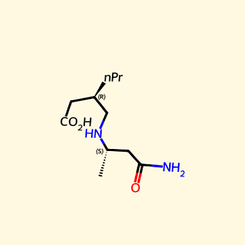 CCC[C@@H](CN[C@@H](C)CC(N)=O)CC(=O)O